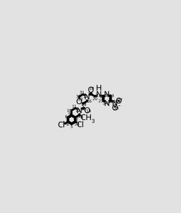 C[C@H]1c2c(Cl)cc(Cl)cc2CCN1C(=O)[C@H]1CN(C(=O)CNc2cnc([N+](=O)[O-])cn2)CCO1